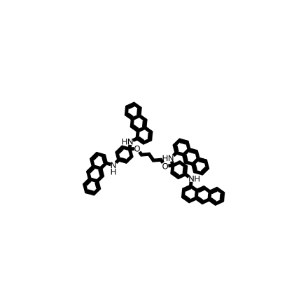 C1=CC(Nc2cccc3cc4ccccc4cc23)(OCCCCOC2(Nc3cccc4cc5ccccc5cc34)C=CC(Nc3cccc4cc5ccccc5cc34)=CC2)CC=C1Nc1cccc2cc3ccccc3cc12